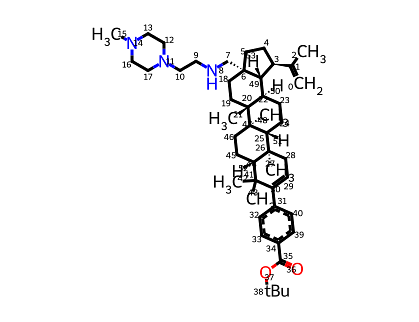 C=C(C)[C@@H]1CC[C@]2(CNCCN3CCN(C)CC3)CC[C@]3(C)[C@H](CC[C@@H]4[C@@]5(C)CC=C(c6ccc(C(=O)OC(C)(C)C)cc6)C(C)(C)[C@@H]5CC[C@]43C)[C@@H]12